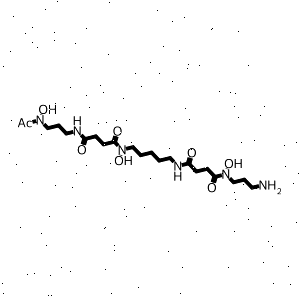 CC(=O)N(O)CCCNC(=O)CCC(=O)N(O)CCCCCNC(=O)CCC(=O)N(O)CCCN